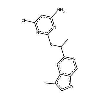 CC(Sc1nc(N)cc(Cl)n1)c1cc2c(F)coc2cn1